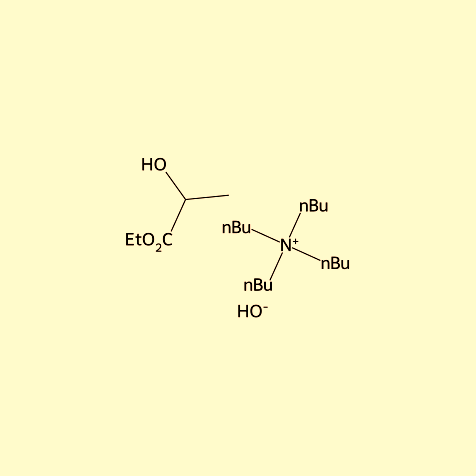 CCCC[N+](CCCC)(CCCC)CCCC.CCOC(=O)C(C)O.[OH-]